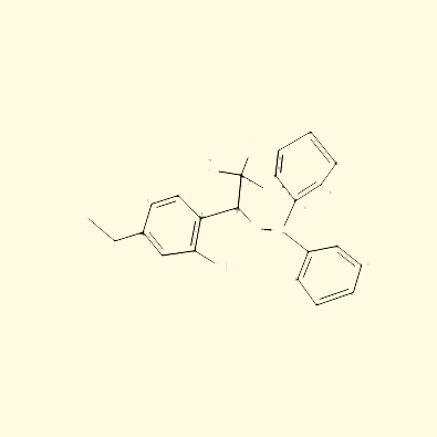 Cc1cc(CO)ccc1C(O[SiH](c1ccccc1)c1ccccc1)C(C)(C)C